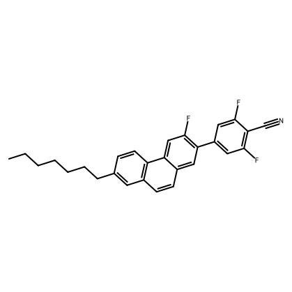 CCCCCCCc1ccc2c(ccc3cc(-c4cc(F)c(C#N)c(F)c4)c(F)cc32)c1